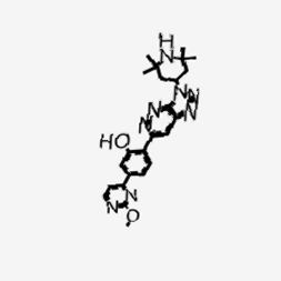 COc1nccc(-c2ccc(-c3cc4nnn(C5CC(C)(C)NC(C)(C)C5)c4nn3)c(O)c2)n1